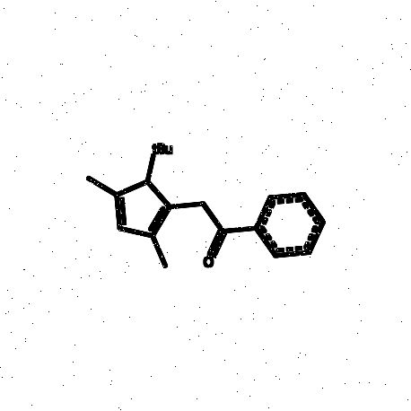 CC1=CC(C)=C(CC(=O)c2ccccc2)C1C(C)(C)C